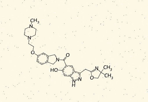 CN1CCN(CCOc2ccc3c(c2)CN(C(=O)c2cc4c(CC5=NC(C)(C)CO5)n[nH]c4cc2O)C3)CC1